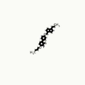 CCCCOc1ccc(-c2ccc(OCC3CCC4C(CCC)CCC34)cc2)c(F)c1F